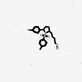 CCOCCCCC1CCC(c2ccc(F)cc2)N1S(=O)(=O)c1ccc(C)cc1